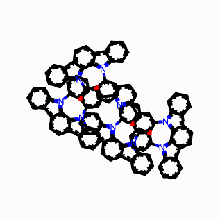 c1ccc(-n2c3ccccc3c3ccc4c5ccccc5n(-c5cc(-c6cccc(-c7cc(-n8c9ccccc9c9ccc%10c%11ccccc%11n(-c%11ccccc%11)c%10c98)cc(-n8c9ccccc9c9ccc%10c%11ccccc%11n(-c%11ccccc%11)c%10c98)c7)n6)cc(-n6c7ccccc7c7ccc8c9ccccc9n(-c9ccccc9)c8c76)c5)c4c32)cc1